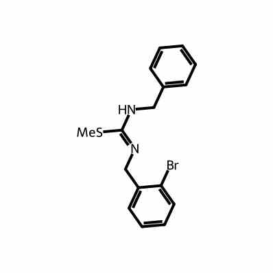 CS/C(=N\Cc1ccccc1Br)NCc1ccccc1